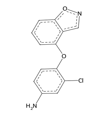 Nc1ccc(Oc2cccc3oncc23)c(Cl)c1